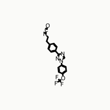 O=C=NCCc1ccc(-c2ncn(-c3ccc(OC(F)(F)F)cc3)n2)cc1